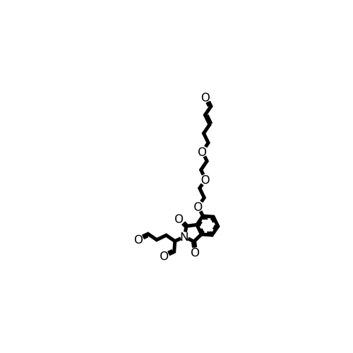 O=C/C=C/CCOCCOCCOc1cccc2c1C(=O)N(C(C=O)CCC=O)C2=O